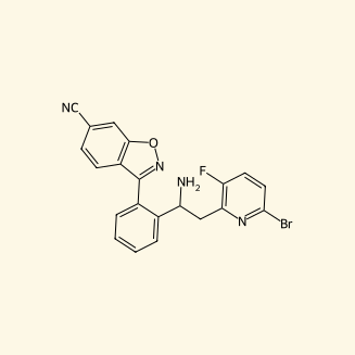 N#Cc1ccc2c(-c3ccccc3C(N)Cc3nc(Br)ccc3F)noc2c1